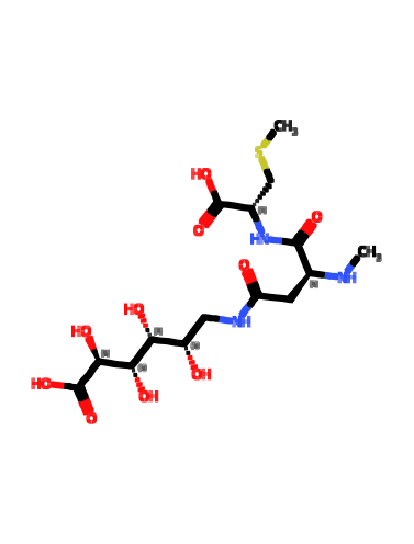 CN[C@@H](CC(=O)NC[C@H](O)[C@@H](O)[C@H](O)[C@H](O)C(=O)O)C(=O)N[C@@H](CSC)C(=O)O